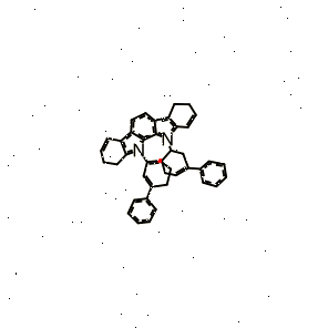 C1=Cc2c(c3ccc4c5c(n(C6=CCCC(c7ccccc7)=C6)c4c3n2C2CCC=C(c3ccccc3)C2)CCC=C5)CC1